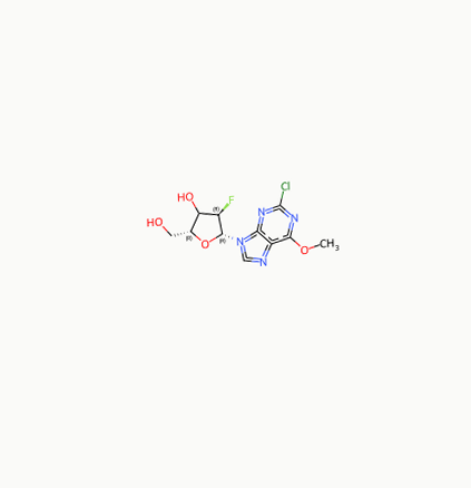 COc1nc(Cl)nc2c1ncn2[C@@H]1O[C@H](CO)C(O)[C@H]1F